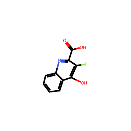 O=C(O)c1nc2ccccc2c(O)c1F